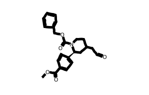 COC(=O)c1ccc([C@@H]2CC(CC=O)CCN2C(=O)OCc2ccccc2)cc1